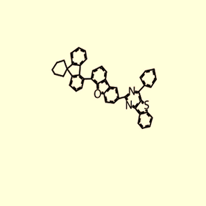 c1ccc(-c2nc(-c3ccc4oc5c(-c6cccc7c6-c6ccccc6C76CCCCC6)cccc5c4c3)nc3c2sc2ccccc23)cc1